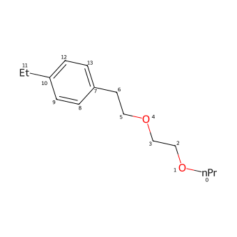 CCCOCCOCCc1ccc(CC)cc1